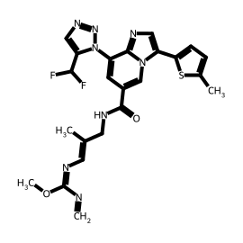 C=N/C(=N\C=C(/C)CNC(=O)c1cc(-n2nncc2C(F)F)c2ncc(-c3ccc(C)s3)n2c1)OC